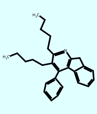 CCCCCc1nc2c(c(-c3ccccc3)c1CCCCC)-c1ccccc1C2